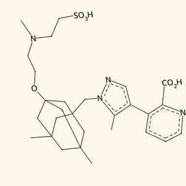 Cc1c(-c2cccnc2C(=O)O)cnn1CC12CC3(C)CC(C)(C1)CC(OCCN(C)CCS(=O)(=O)O)(C3)C2